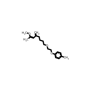 C=C(/C=C(/C)OC)CCCCOCCOc1ccc(C)cc1